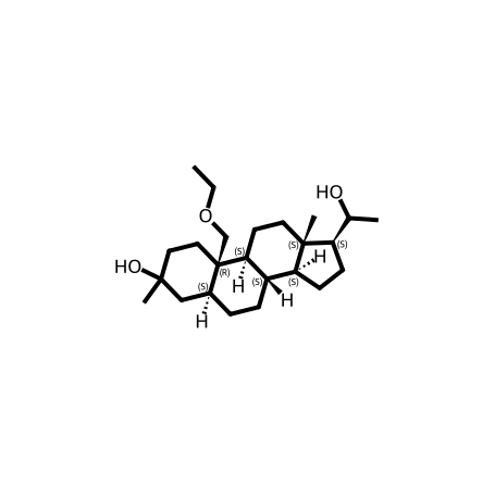 CCOC[C@]12CCC(C)(O)C[C@@H]1CC[C@H]1[C@@H]3CC[C@H](C(C)O)[C@@]3(C)CC[C@@H]12